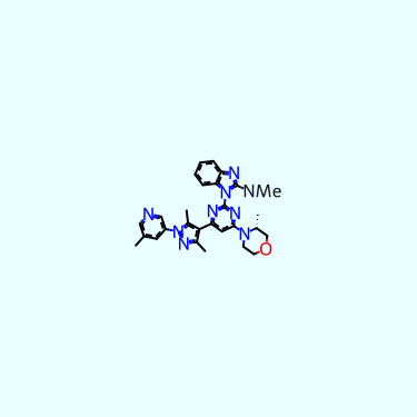 CNc1nc2ccccc2n1-c1nc(-c2c(C)nn(-c3cncc(C)c3)c2C)cc(N2CCOC[C@H]2C)n1